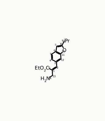 CCOC(=O)/C(=C\c1ccc2cc(C(C)C)oc2c1)CN